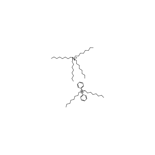 CCCCCCCC[B-](CCCCCCCC)(c1ccccc1)c1ccccc1.CCCCCCCC[N+](CCCCCCCC)(CCCCCCCC)CCCCCCCC